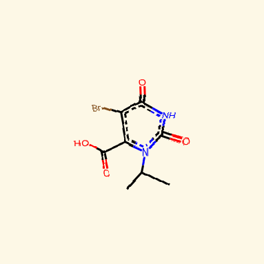 CC(C)n1c(C(=O)O)c(Br)c(=O)[nH]c1=O